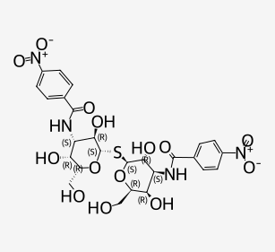 O=C(N[C@H]1[C@@H](O)[C@@H](CO)O[C@@H](S[C@@H]2O[C@H](CO)[C@H](O)[C@H](NC(=O)c3ccc([N+](=O)[O-])cc3)[C@H]2O)[C@@H]1O)c1ccc([N+](=O)[O-])cc1